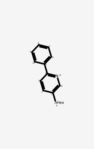 CCCCCCc1ccc(-c2cc[c]cc2)nc1